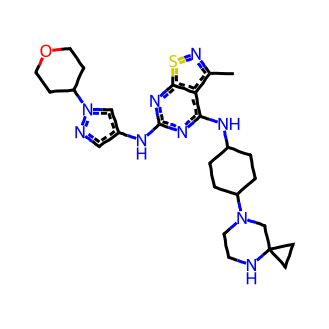 Cc1nsc2nc(Nc3cnn(C4CCOCC4)c3)nc(NC3CCC(N4CCNC5(CC5)C4)CC3)c12